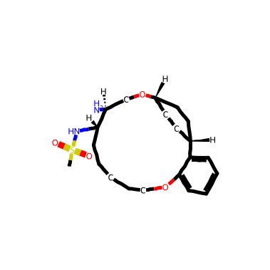 CS(=O)(=O)N[C@H]1CCCCCOc2ccccc2[C@H]2CC[C@H](CC2)OC[C@@H]1N